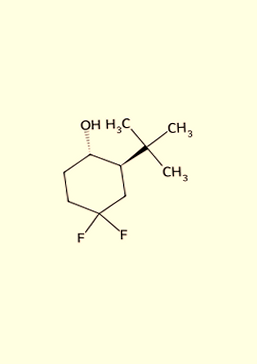 CC(C)(C)[C@H]1CC(F)(F)CC[C@@H]1O